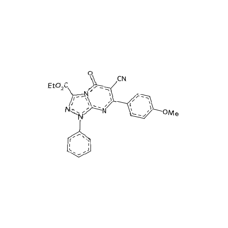 CCOC(=O)c1nn(-c2ccccc2)c2nc(-c3ccc(OC)cc3)c(C#N)c(=O)n12